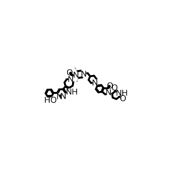 C[C@@H]1CN(CC2CCN(c3ccc4c(c3)C(=O)N([C@H]3CCC(=O)NC3=O)C4)CC2)C[C@H](C)N1C(=O)N1CCc2[nH]c3nnc(-c4ccccc4O)cc3c2CC1